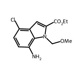 CCOC(=O)c1cc2c(Cl)ccc(N)c2n1COC